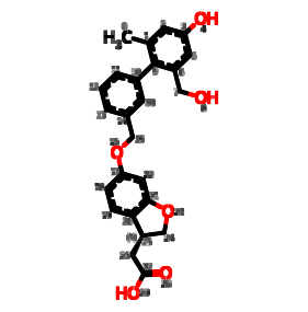 Cc1cc(O)cc(CO)c1-c1cccc(COc2ccc3c(c2)OC[C@H]3CC(=O)O)c1